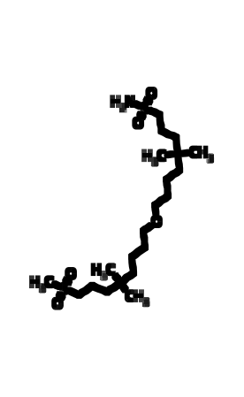 CC(C)(CCCCOCCCCC(C)(C)CCCS(N)(=O)=O)CCCS(C)(=O)=O